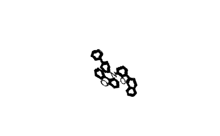 c1ccc(-c2ccc(N(c3cccc4c3oc3c5ccccc5ccc43)c3cccc4oc5ccccc5c34)cc2)cc1